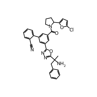 CC(N)(Cc1ccccc1)c1nnc(-c2cc(C(=O)N3CCCC3c3ccc(Cl)o3)cc(-c3ccccc3C#N)c2)o1